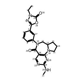 CCn1nc(-c2cccc(N3CC4CCCN4c4nc(NC)ncc4C3=O)c2)oc1=O